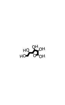 OC[C@H](O)[C@H]1O[C@H](O)[C@@H](O)[C@@H]1O